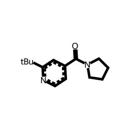 CC(C)(C)c1cc(C(=O)N2CCCC2)ccn1